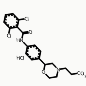 Cl.O=C(O)CCN1CCOC(c2ccc(NC(=O)c3c(Cl)cccc3Cl)cc2)C1